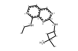 CCNc1nccc2cnc(NC3CC(C)(N)C3)nc12